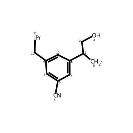 [CH2]C(CO)c1cc(C#N)cc(CC(C)C)c1